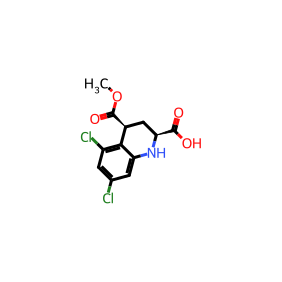 COC(=O)[C@H]1C[C@@H](C(=O)O)Nc2cc(Cl)cc(Cl)c21